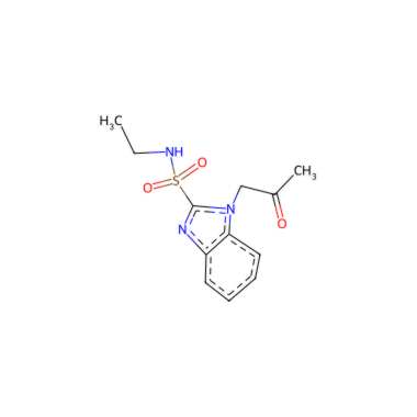 CCNS(=O)(=O)c1nc2ccccc2n1CC(C)=O